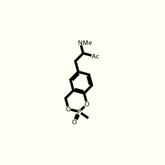 CNC(Cc1ccc2c(c1)COP(C)(=O)O2)C(C)=O